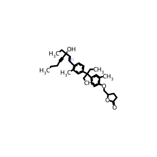 CCCC#C[C@@](O)(/C=C/c1ccc(C(CC)(CC)c2ccc(OCC3CCC(=O)O3)c(C)c2)cc1C)CC